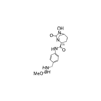 COBNCc1ccc(NC(=O)[C@@H]2CCC3CN2C(=O)N3O)cc1